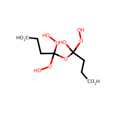 O=C(O)CCC(O)(OO)OC(CCC(=O)O)(OO)OO